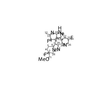 COC[C@]1(F)CCc2c(-c3c(F)c(C)nc4[nH]ncc34)c(-c3ccc(F)cn3)nn2C1